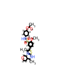 COc1ccc(-c2sc(NC(C)C3CCOCC3)nc2C)cc1S(=O)(=O)NC1CCC(OC(C)=O)CC1